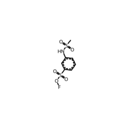 CS(=O)(=O)Nc1cccc(S(=O)(=O)OF)c1